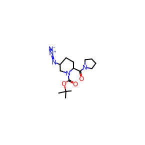 CC(C)(C)OC(=O)N1CC(N=[N+]=[N-])CCC1C(=O)N1CCCC1